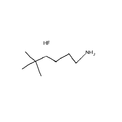 CC(C)(C)CCCCN.F